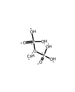 O=P(O)(O)OP(=O)(O)O.[CsH]